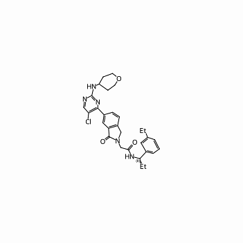 CCc1cccc([C@@H](CC)NC(=O)CN2Cc3ccc(-c4nc(NC5CCOCC5)ncc4Cl)cc3C2=O)c1